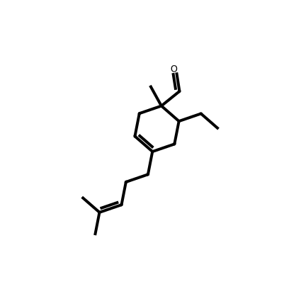 CCC1CC(CCC=C(C)C)=CCC1(C)C=O